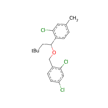 Cc1ccc(C(CC(C)(C)C)OCc2ccc(Cl)cc2Cl)c(Cl)c1